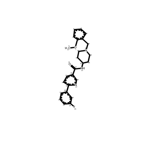 COc1ccccc1CN1CCC(NC(=O)c2ccc(-c3cccc(F)c3)nc2)CC1